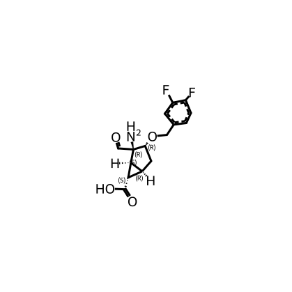 N[C@]1(C=O)[C@H]2[C@@H](C[C@H]1OCc1ccc(F)c(F)c1)[C@@H]2C(=O)O